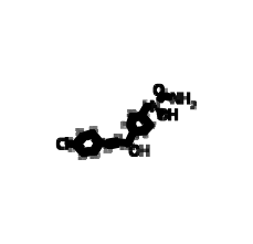 NC(=O)N(O)Cc1ccc(C(O)C#Cc2ccc(Cl)cc2)cc1